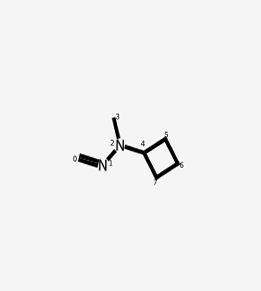 C=NN(C)C1CCC1